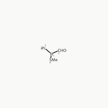 CSN([C]=O)C(C)C